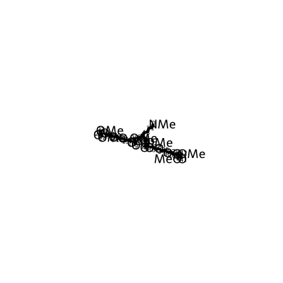 CNCCCCC(COP(=O)(OC)OCCOCCOCCOP(=O)(OC)OC)COP(=O)(OC)OCCOCCOCCOP(=O)(OC)OC